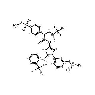 CCS(=O)(=O)c1ccc(C(OC(=O)C(F)(F)F)C(=O)Nc2nc(-c3cccc(CN(C)C)c3)c(Oc3ccccc3C(F)(F)F)s2)cc1